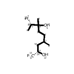 CC(CCC(C)(O)[C@H](C)C(C)C)C[C@H](O)C(F)(F)F